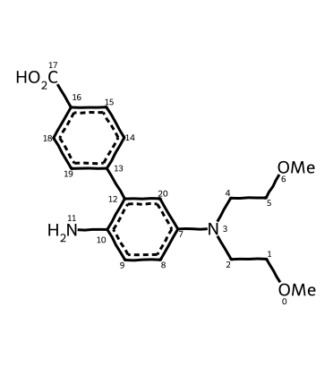 COCCN(CCOC)c1ccc(N)c(-c2ccc(C(=O)O)cc2)c1